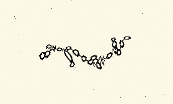 c1ccc(-c2ccc(-c3cccc4c3c3cc5ccccc5cc3n4-c3ccc(-c4nc(-c5cccc6c(-c7ccc(-c8ccc(-c9cccc%10c9c9cc%11ccccc%11cc9n%10-c9ccc(-c%10nc(-c%11ccc%12ccccc%12c%11)c%11ncccc%11n%10)cc9)cc8)cc7)cccc56)c5ncccc5n4)cc3)cc2)cc1